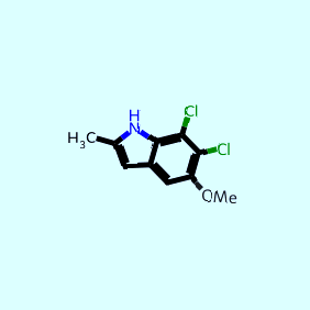 COc1cc2cc(C)[nH]c2c(Cl)c1Cl